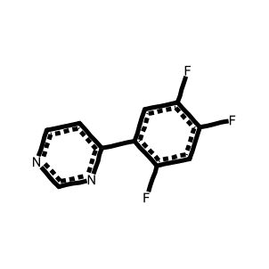 Fc1cc(F)c(-c2ccncn2)cc1F